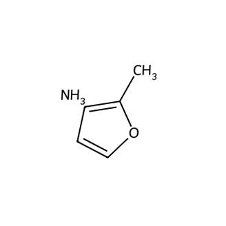 Cc1ccco1.N